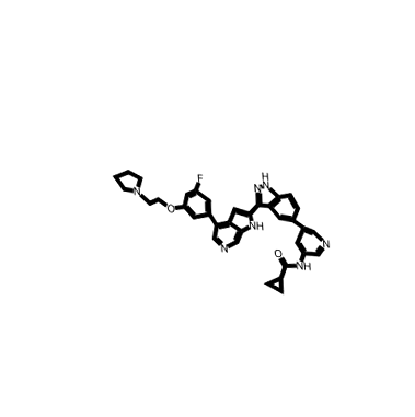 O=C(Nc1cncc(-c2ccc3[nH]nc(-c4cc5c(-c6cc(F)cc(OCCN7CCCC7)c6)cncc5[nH]4)c3c2)c1)C1CC1